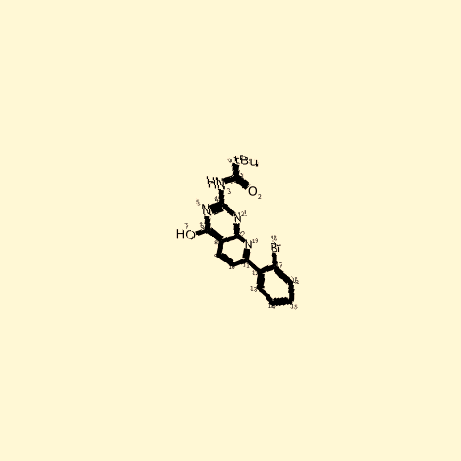 CC(C)(C)C(=O)Nc1nc(O)c2ccc(-c3ccccc3Br)nc2n1